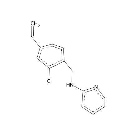 C=Cc1ccc(CNc2ccccn2)c(Cl)c1